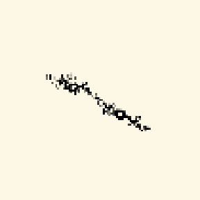 CC(=O)CCNC(=O)CCc1ccc(NC(=O)CCOCCOCCNC(=O)C2CCC(CN3C(=O)C(C)C(C)C3=O)CC2)cc1